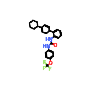 O=C(Nc1ccc(OC(F)(F)F)cc1)Nc1ccccc1C1C=CC(C2CCCCC2)=CC1